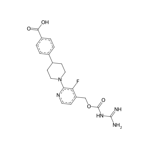 N=C(N)NC(=O)OCc1ccnc(N2CCC(c3ccc(C(=O)O)cc3)CC2)c1F